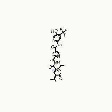 CC[C@@H](C)/C(=C\C(C(C)=O)=C(C)C)C(=O)N[C@H](C)c1ncc(C(=O)Nc2cc(C(F)(F)F)c(O)cn2)s1